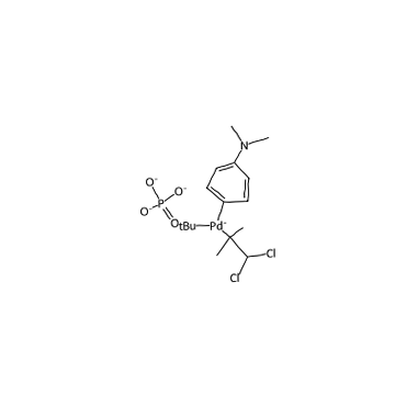 CN(C)c1cc[c]([Pd-]([C](C)(C)C)[C](C)(C)C(Cl)Cl)cc1.O=P([O-])([O-])[O-]